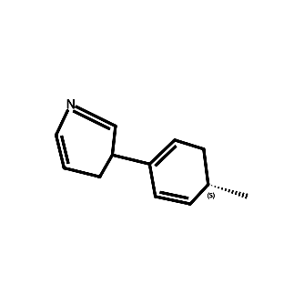 C[C@@H]1C=CC(C2C=NC=CC2)=CC1